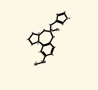 CCNc1ncc2c(n1)N1CCCC1C[N+]([O-])(Cc1ccsc1)C2